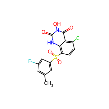 Cc1cc(F)cc(S(=O)(=O)c2ccc(Cl)c3c(=O)n(O)c(=O)[nH]c23)c1